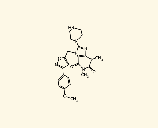 COc1ccc(-c2cc(Cn3c(N4CCNCC4)nc4c3c(=O)n(C)c(=O)n4C)on2)cc1